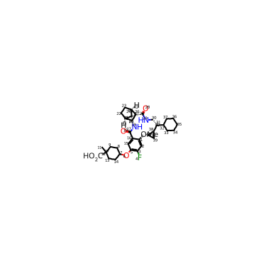 COc1cc(F)c(OC2CCC(C)(C(=O)O)CC2)cc1C(=O)N[C@@H]1[C@H]2CC[C@H](C2)[C@@H]1C(=O)NC[C@H](C1CCCCC1)C1CC1